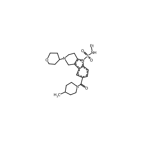 CCNS(=O)(=O)n1c2c(c3cc(C(=O)N4CCC(C)CC4)ccc31)CN(C1CCOCC1)CC2